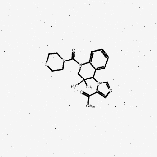 COC(=O)c1cncn1C1c2ccccc2N(C(=O)N2CCOCC2)CC1(C)C